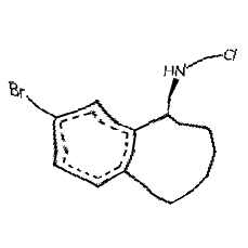 ClN[C@H]1CCCc2ccc(Br)cc21